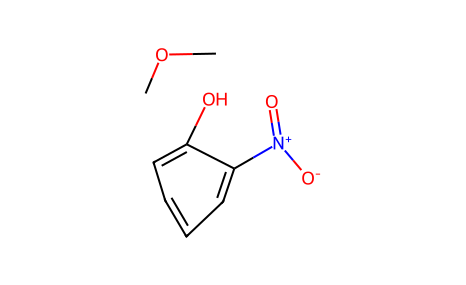 COC.O=[N+]([O-])c1ccccc1O